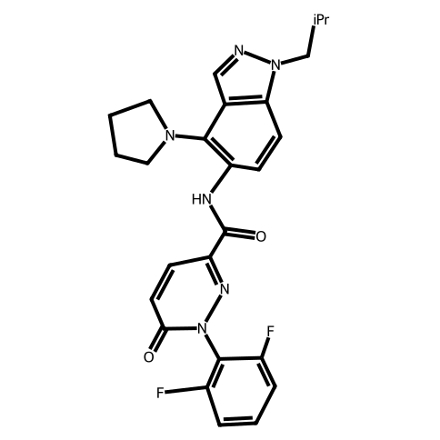 CC(C)Cn1ncc2c(N3CCCC3)c(NC(=O)c3ccc(=O)n(-c4c(F)cccc4F)n3)ccc21